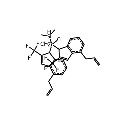 C=CCc1cccc2c1C=C(C(F)(F)F)[CH]2[Zr]([Cl])([Cl])([CH]1C(C(F)(F)F)=Cc2c(CC=C)cccc21)[SiH](C)C